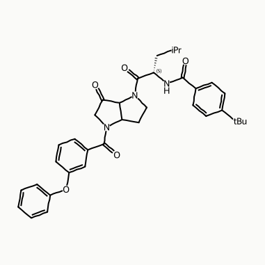 CC(C)C[C@H](NC(=O)c1ccc(C(C)(C)C)cc1)C(=O)N1CCC2C1C(=O)CN2C(=O)c1cccc(Oc2ccccc2)c1